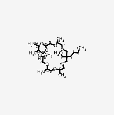 CCCCC(CC)(COCC(C)OCC(C)OCC(C)N)COCC(C)OCC(C)OCC(C)CN